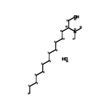 CCCCCCCCCCCCC(CO)N(C)C.Cl